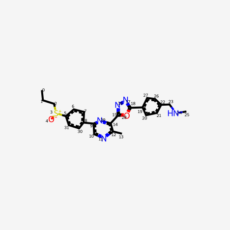 CCC[S+]([O-])c1ccc(-c2cnc(C)c(-c3nnc(-c4ccc(CNC)cc4)o3)n2)cc1